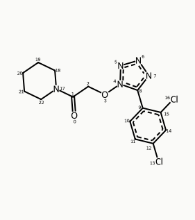 O=C(COn1nnnc1-c1ccc(Cl)cc1Cl)N1CCCCC1